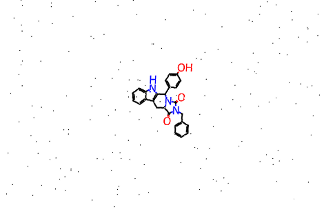 O=C1C2Cc3c([nH]c4ccccc34)C(c3ccc(O)cc3)N2C(=O)N1Cc1ccccc1